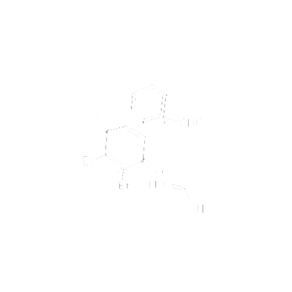 C=CC.CCC1=C(CC)C(=O)C=CC1=O.O=Cc1ccccc1